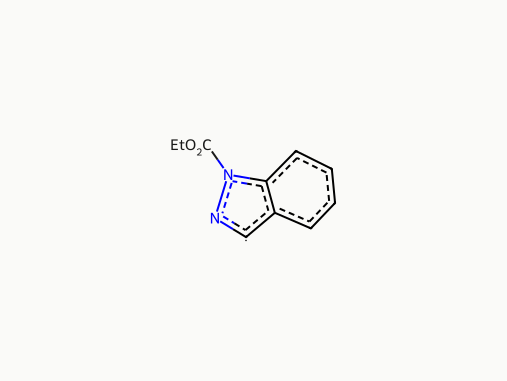 CCOC(=O)n1n[c]c2ccccc21